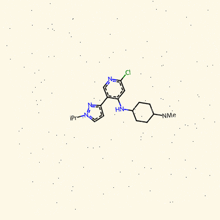 CNC1CCC(Nc2cc(Cl)ncc2-c2ccn(C(C)C)n2)CC1